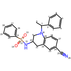 CC(c1ccccc1)N1CC(NS(=O)(=O)c2ccccc2)Cc2cc(C#N)ccc21